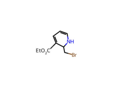 CCOC(=O)C1=CC=CNC1CBr